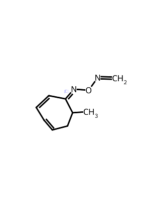 C=NO/N=C1/C=CC=CCC1C